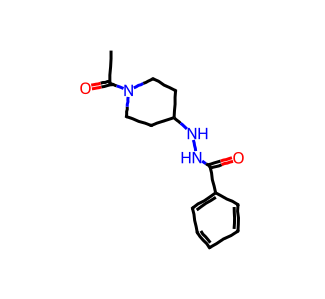 CC(=O)N1CCC(NNC(=O)c2ccccc2)CC1